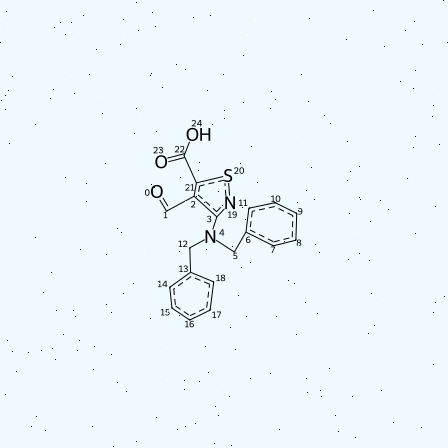 O=Cc1c(N(Cc2ccccc2)Cc2ccccc2)nsc1C(=O)O